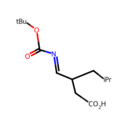 CC(C)CC(/C=N/C(=O)OC(C)(C)C)CC(=O)O